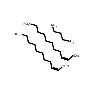 CCCCCCCC/C=C\CCCCCCCC(=O)O.CCCCCCCC/C=C\CCCCCCCC(=O)O.NCCCN